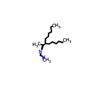 C=N/C=N\C=C(/C)C(CCCCCC)CCCCCC